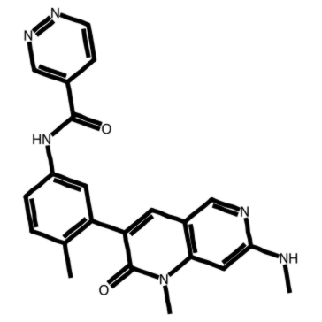 CNc1cc2c(cn1)cc(-c1cc(NC(=O)c3ccnnc3)ccc1C)c(=O)n2C